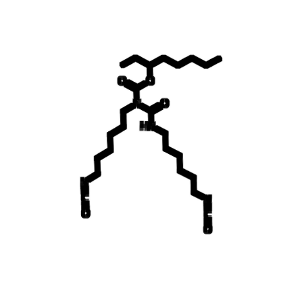 CCCCCC(CC)OC(=O)N(CCCCCCN=C=O)C(=O)NCCCCCCN=C=O